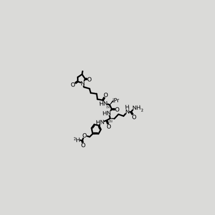 [2H]C(=O)OCc1ccc(NC(=O)[C@H](CCCNC(N)=O)NC(=O)[C@@H](NC(=O)CCCCCN2C(=O)CC(C)C2=O)C(C)C)cc1